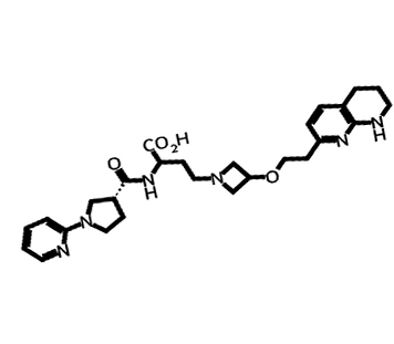 O=C(O)C(CCN1CC(OCCc2ccc3c(n2)NCCC3)C1)NC(=O)[C@@H]1CCN(c2ccccn2)C1